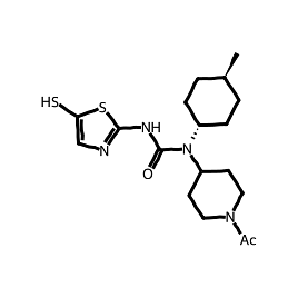 CC(=O)N1CCC(N(C(=O)Nc2ncc(S)s2)[C@H]2CC[C@H](C)CC2)CC1